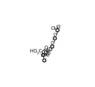 CC(C)(C)OC(=O)[N+]1(C(=O)NCC(C(=O)O)c2ccc(-c3ccccc3)cc2)CCc2ccc(OCc3ccc(OCc4ccc(Cl)c(Cl)c4)cc3)cc2C1